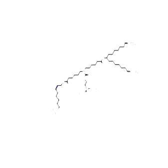 CCCCCC/C=C\COC(=O)CCCCCN(CCCCCC(=O)OC(CCCCCCCC)CCCCCCCC)C(=O)SCCN(C)C